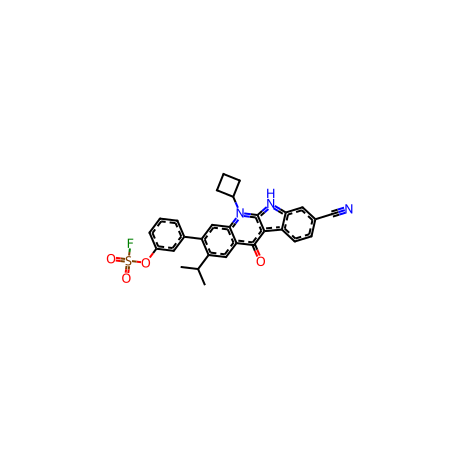 CC(C)c1cc2c(=O)c3c4ccc(C#N)cc4[nH]c3n(C3CCC3)c2cc1-c1cccc(OS(=O)(=O)F)c1